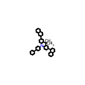 CC1(C)c2cc(-c3ccc4ccccc4c3)ccc2N(c2ccc(-c3ccccc3)cc2)c2ccc(-c3cccc4ccccc34)cc21